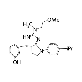 COCCN(C)C(=N)/N=C1\C(=C\c2cccc(O)c2)CCN1c1ccc(C(C)C)cc1